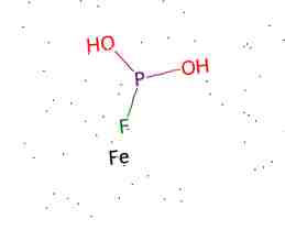 OP(O)F.[Fe]